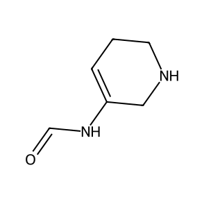 O=CNC1=CCCNC1